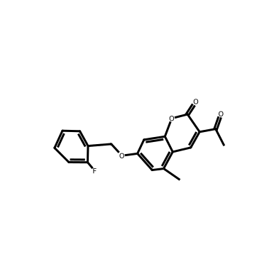 CC(=O)c1cc2c(C)cc(OCc3ccccc3F)cc2oc1=O